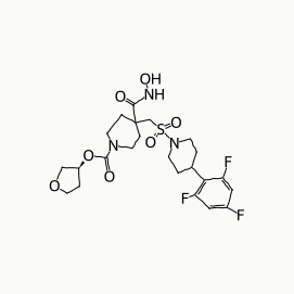 O=C(O[C@H]1CCOC1)N1CCC(CS(=O)(=O)N2CCC(c3c(F)cc(F)cc3F)CC2)(C(=O)NO)CC1